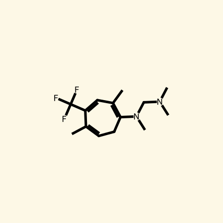 CC1=CCC(N(C)CN(C)C)=C(C)C=C1C(F)(F)F